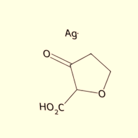 O=C(O)C1OCCC1=O.[Ag]